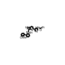 COc1cccc(-c2cccc3[nH]c(-c4n[nH]c5ccc(-c6cncc(NC(=O)C(C)C)c6)nc45)nc23)c1